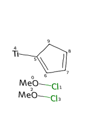 COCl.COCl.[Ti][C]1=CC=CC1